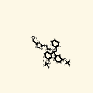 CCc1nnc(NC(=O)NC(Cc2ccccc2)(c2cccc(OC(F)(F)F)c2)c2cccc(OC(F)(F)F)c2)s1